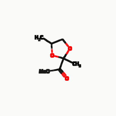 COC(=O)C1(C)OCC(C)O1